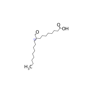 CCCCCCCC/C=C(/C=O)CCCCCCCC(=O)O